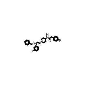 C[C@H](CN(SCc1ccccc1)c1cccc(F)c1)N1CCC(NC(=O)Cc2ccc(F)cc2)CC1